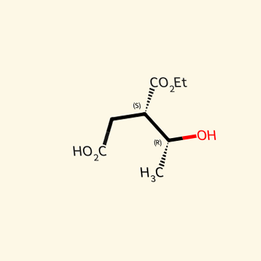 CCOC(=O)[C@@H](CC(=O)O)[C@@H](C)O